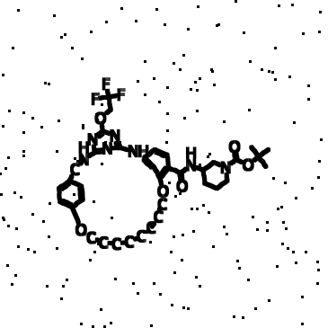 CC(C)(C)OC(=O)N1CCCC(NC(=O)c2ccc3cc2OCCCCCCCCOc2ccc(cc2)CNc2nc(nc(OCC(F)(F)F)n2)N3)C1